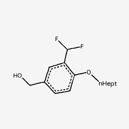 CCCCCCCOc1ccc(CO)cc1C(F)F